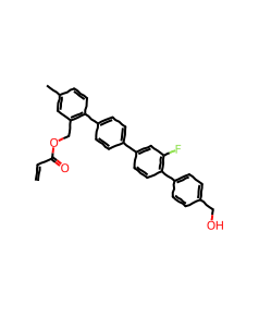 C=CC(=O)OCc1cc(C)ccc1-c1ccc(-c2ccc(-c3ccc(CO)cc3)c(F)c2)cc1